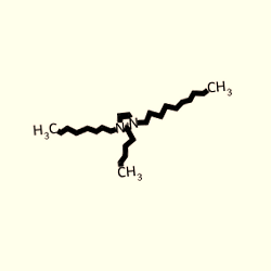 CCCCCCCCCCn1cc[n+](CCCCCCCC)c1CCCCC